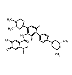 C[C@@H]1CN(c2ncc(-c3c(F)cc(N4CCN(C)[C@@H](C)C4)c(NC(=O)c4cn(C)c(=O)cc4C(F)F)c3F)cn2)C[C@H](C)O1